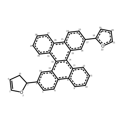 C1=COC(c2ccc3c4ccccc4c4c5cc(-c6ccco6)ccc5c5ccccc5c4c3c2)C1